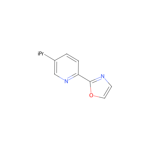 CC(C)c1ccc(-c2ncco2)nc1